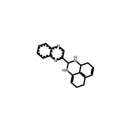 C1=CC2=C3C(=CCC2)NC(c2cnc4ccccc4n2)NC3C1